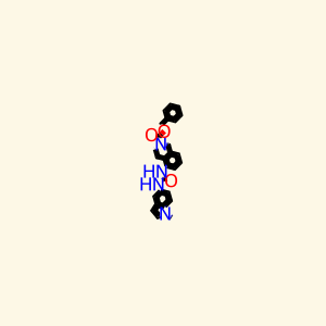 Cn1ccc2cc(NC(=O)Nc3cccc4c3CCN(C(=O)OCc3ccccc3)C4)ccc21